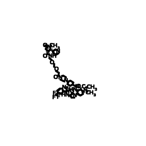 CC(C)N(C)[C@@H]1CC[C@H](N2CC[C@H](Nc3ncnc4ccc(C(F)(F)F)cc34)C2=O)[C@H](NC(=O)C2CCC(N3CCN(C(=O)CCOCCOCCNC(=O)[C@H]4CC(=O)N(C)[C@@H]4c4cccnc4)CC3)CC2)C1